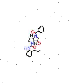 CCCc1ccccc1NC(=O)N1CC[C@@H]2[C@H]1C(=O)CN2C(=O)c1ccccc1